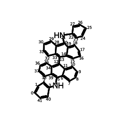 c1ccc(Nc2c3ccccc3c(-c3c4ccccc4c(Nc4ccccc4)c4ccccc34)c3ccccc23)cc1